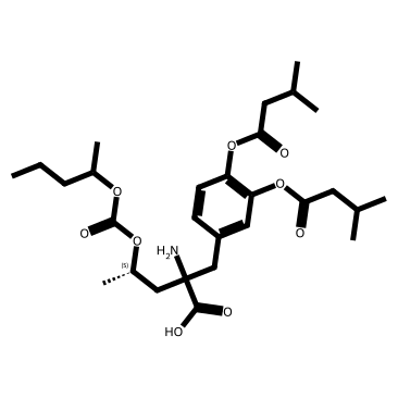 CCCC(C)OC(=O)O[C@@H](C)CC(N)(Cc1ccc(OC(=O)CC(C)C)c(OC(=O)CC(C)C)c1)C(=O)O